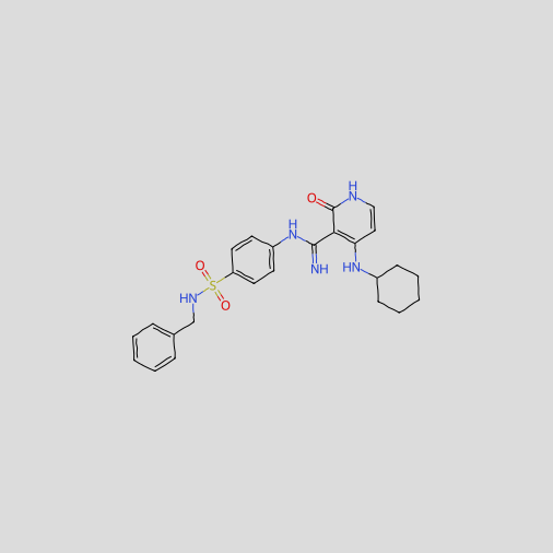 N=C(Nc1ccc(S(=O)(=O)NCc2ccccc2)cc1)c1c(NC2CCCCC2)cc[nH]c1=O